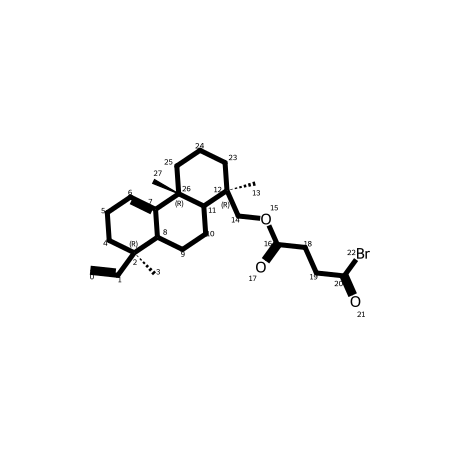 C=C[C@@]1(C)CCC=C2C1CCC1[C@](C)(COC(=O)CCC(=O)Br)CCC[C@@]21C